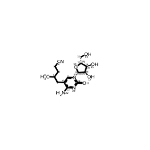 CC(CCC#N)Cc1cn([C@@H]2O[C@H](CO)[C@@H](O)[C@H]2O)c(=O)nc1N